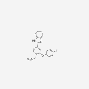 CNCc1ccc(-c2nc3cccnc3[nH]2)cc1Oc1ccc(F)cc1